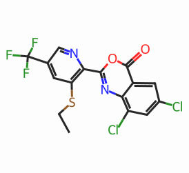 CCSc1cc(C(F)(F)F)cnc1-c1nc2c(Cl)cc(Cl)cc2c(=O)o1